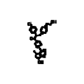 C[C@@H]1C[C@@H](O)c2ncnc(N3CCN(C(=O)C(CN4CCN(CCO)CC4)c4ccc(Cl)cc4)CC3)c21